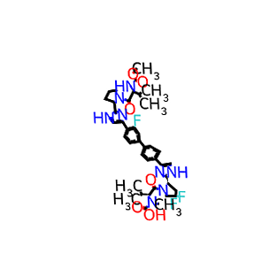 COC(=O)N[C@H](C(=O)N1CCCC1c1nc(-c2ccc(-c3ccc(-c4c[nH]c([C@@H]5CC(F)(F)CN5C(=O)[C@H](C(C)C)N(C)C(=O)O)n4)cc3)cc2F)c[nH]1)C(C)C